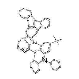 CC(C)(C)c1cc2c3c(c1)-n1c4c(cccc4c4cc5c6ccccc6n6c7ccccc7c(c41)c56)B3c1ccccc1N2c1ccccc1